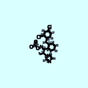 CC(C(=NO[N+](=O)[O-])c1ccccc1Cc1ccc(Cl)cc1Cl)n1ccnc1